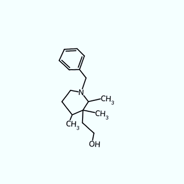 CC1CCN(Cc2ccccc2)C(C)C1(C)CCO